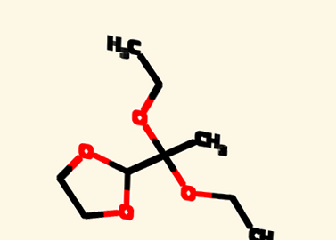 CCOC(C)(OCC)C1OCCO1